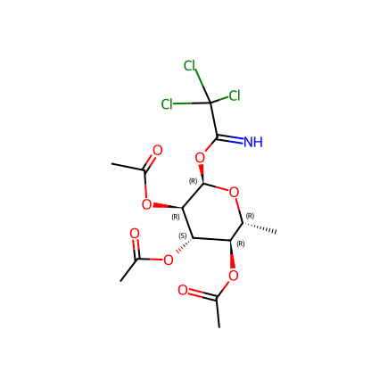 CC(=O)O[C@@H]1[C@@H](OC(C)=O)[C@@H](OC(=N)C(Cl)(Cl)Cl)O[C@H](C)[C@H]1OC(C)=O